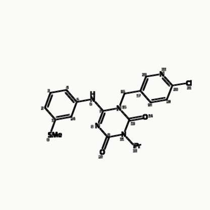 CSc1cccc(Nc2nc(=O)n(C(C)C)c(=O)n2Cc2ccc(Cl)nc2)c1